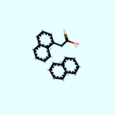 OC(=S)Cc1cccc2ccccc12.c1ccc2ccccc2c1